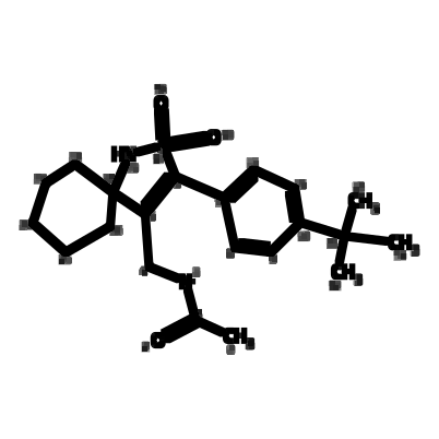 CC(=O)[N]CC1=C(c2ccc(C(C)(C)C)cc2)S(=O)(=O)NC12CCCCC2